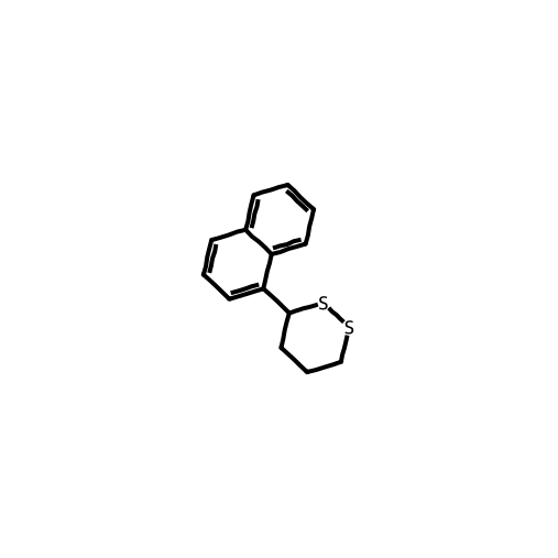 c1ccc2c(C3CCCSS3)cccc2c1